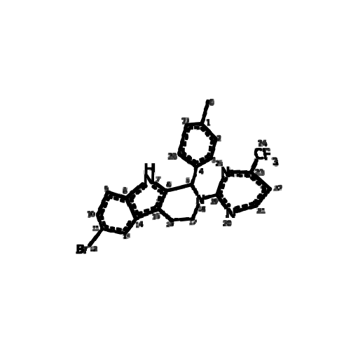 Cc1ccc(C2c3[nH]c4ccc(Br)cc4c3CCN2c2nccc(C(F)(F)F)n2)cc1